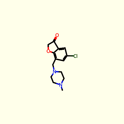 CN1CCN(Cc2cc(Cl)cc3c2OCC3=O)CC1